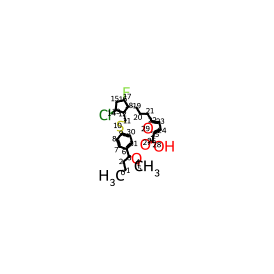 CCCC(OC)c1ccc(SC[C@H]2C(Cl)CC(F)[C@@H]2CCCc2ccc(C(=O)O)o2)cc1